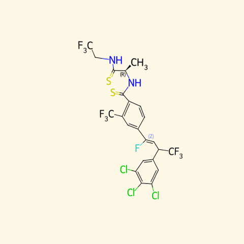 C[C@@H](NC(=S)c1ccc(/C(F)=C/C(c2cc(Cl)c(Cl)c(Cl)c2)C(F)(F)F)cc1C(F)(F)F)C(=S)NCC(F)(F)F